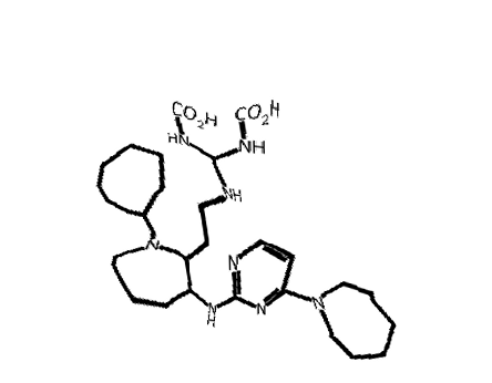 O=C(O)NC(NCCC1C(Nc2nccc(N3CCCCCC3)n2)CCCN1C1CCCCC1)NC(=O)O